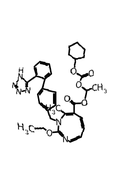 CCOc1nccccc(C(=O)OC(C)OC(=O)OC2CCCCC2)c(C)n1Cc1ccc(-c2ccccc2-c2nnn[nH]2)cc1